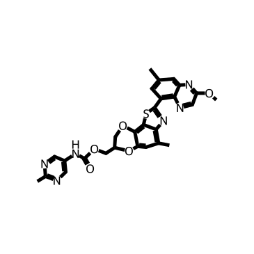 COc1cnc2c(-c3nc4c(C)cc5c(c4s3)OCC(COC(=O)Nc3cnc(C)nc3)O5)cc(C)cc2n1